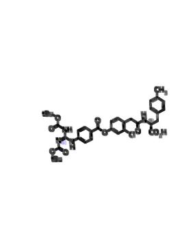 Cc1ccc(C[C@H](NC(=O)Cc2ccc(OC(=O)c3ccc(N/C(=N\C(=O)OC(C)(C)C)NC(=O)OC(C)(C)C)cc3)cc2Cl)C(=O)O)cc1